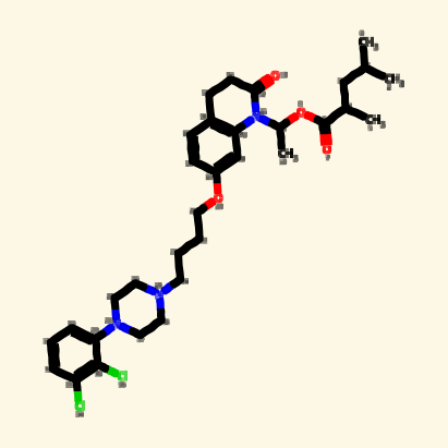 CC(C)CC(C)C(=O)OC(C)N1C(=O)CCc2ccc(OCCCCN3CCN(c4cccc(Cl)c4Cl)CC3)cc21